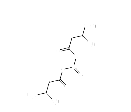 O=C(CC(O)C(=O)O)OS(=O)OC(=O)CC(O)C(=O)O